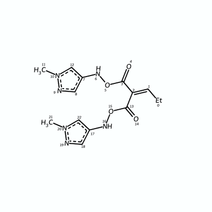 CCC=C(C(=O)ONc1cnn(C)c1)C(=O)ONc1cnn(C)c1